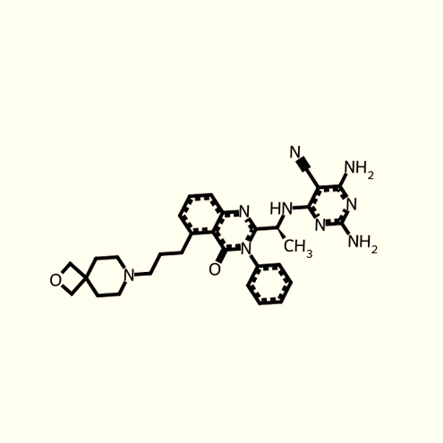 C[C@H](Nc1nc(N)nc(N)c1C#N)c1nc2cccc(CCCN3CCC4(CC3)COC4)c2c(=O)n1-c1ccccc1